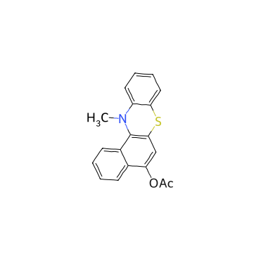 CC(=O)Oc1cc2c(c3ccccc13)N(C)c1ccccc1S2